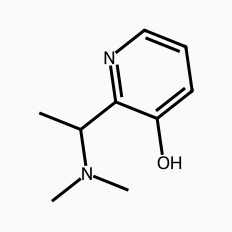 CC(c1ncccc1O)N(C)C